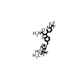 CCC(O)(c1cn(Cc2ccc3c(-c4ccc(C(F)(F)F)nc4)c(C(N)=O)sc3c2)nn1)C(F)(F)F